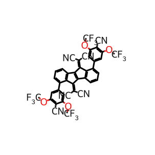 N#CC(C#N)=C1C2=C(C(=C(C#N)C#N)c3c2cccc3-c2cc(OC(F)(F)F)c(C#N)c(OC(F)(F)F)c2)c2cccc(-c3cc(OC(F)(F)F)c(C#N)c(OC(F)(F)F)c3)c21